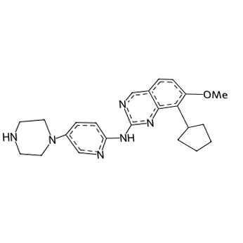 COc1ccc2cnc(Nc3ccc(N4CCNCC4)cn3)nc2c1C1CCCC1